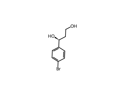 OCC[C@H](O)c1ccc(Br)cc1